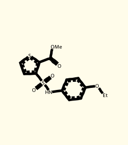 CCOc1ccc(NS(=O)(=O)c2ccsc2C(=O)OC)cc1